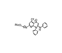 COCCNc1cc(C(F)(F)F)c2c(=O)cc(Nc3ccccc3)n(-c3ccccc3)c2n1